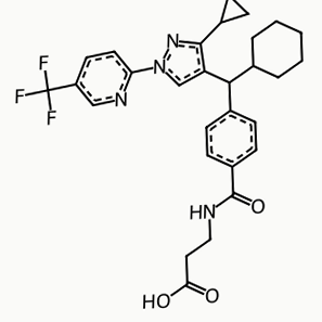 O=C(O)CCNC(=O)c1ccc(C(c2cn(-c3ccc(C(F)(F)F)cn3)nc2C2CC2)C2CCCCC2)cc1